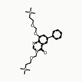 C[Si](C)(C)CCOCOc1cc(-c2ccccc2)cc2c(=O)n(COCC[Si](C)(C)C)cnc12